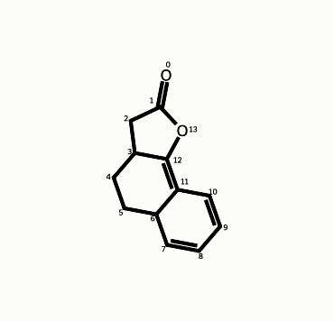 O=C1CC2CCC3C=CC=CC3=C2O1